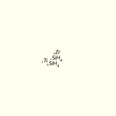 [SiH4].[SiH4].[Ti].[Zr]